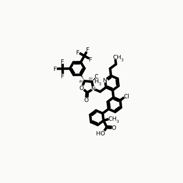 CCCc1ccc(-c2cc(C3C=CC=CC3(C)C(=O)O)ccc2Cl)c(CN2C(=O)O[C@H](c3cc(C(F)(F)F)cc(C(F)(F)F)c3)[C@@H]2C)n1